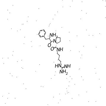 N=C(N)NCCCCNC(=O)[C@H]1CCCN1C(=O)[C@H](N)Cc1ccccc1